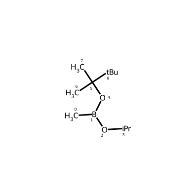 CB(OC(C)C)OC(C)(C)C(C)(C)C